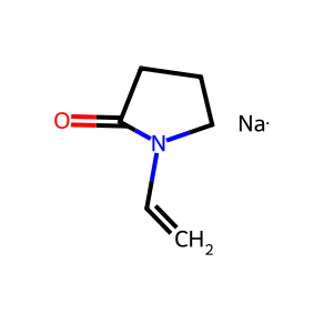 C=CN1CCCC1=O.[Na]